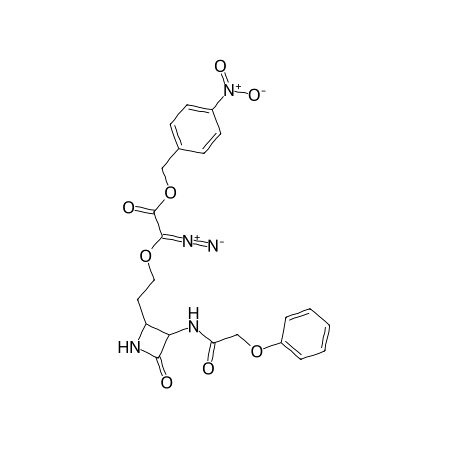 [N-]=[N+]=C(OCCC1NC(=O)C1NC(=O)COc1ccccc1)C(=O)OCc1ccc([N+](=O)[O-])cc1